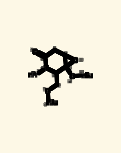 CCCCOCC1N(CCC)C(=O)CC2OC21OCCCC